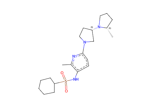 Cc1nc(N2CC[C@H](N3CCC[C@@H]3C)C2)ccc1NS(=O)(=O)C1CCCCC1